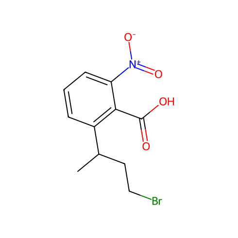 CC(CCBr)c1cccc([N+](=O)[O-])c1C(=O)O